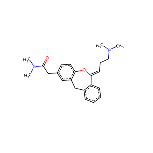 CN(C)CC/C=C1\Oc2ccc(CC(=O)N(C)C)cc2Cc2ccccc21